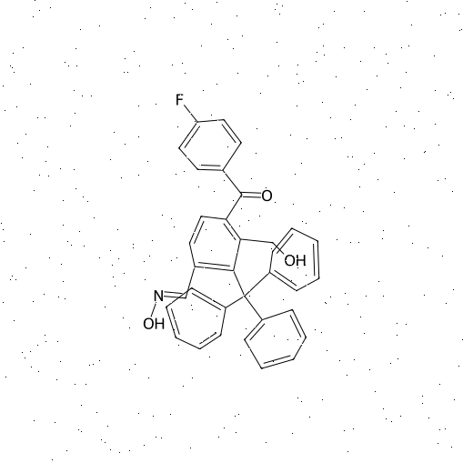 O=C(c1ccc(F)cc1)c1ccc(C=NO)c(C(c2ccccc2)(c2ccccc2)c2ccccc2)c1CO